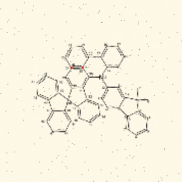 CC1(C)c2ccccc2-c2ccc(N(c3ccccc3-c3ccccc3)c3cccc4c3-c3ccccc3C43c4ccccc4-c4ccccc43)cc21